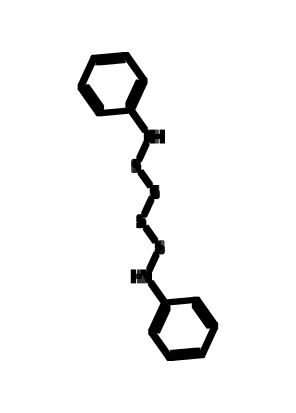 c1ccc(NSSSSNc2ccccc2)cc1